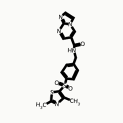 Cc1nc(C)c(S(=O)(=O)c2ccc(CNC(=O)c3cnc4nccn4c3)cc2)s1